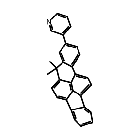 CC1(C)c2cc(-c3cccnc3)ccc2-c2ccc3c4c(ccc1c24)-c1ccccc1-3